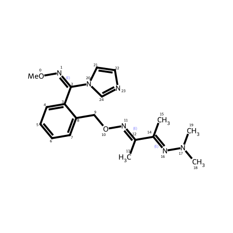 CO/N=C(\c1ccccc1CO/N=C(C)/C(C)=N/N(C)C)n1ccnc1